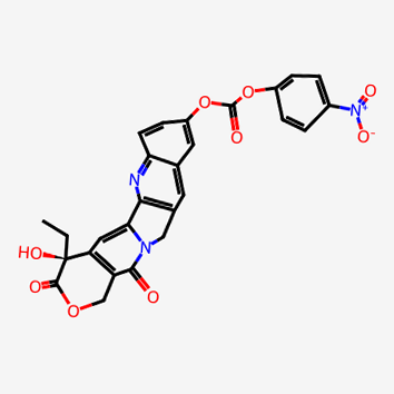 CC[C@@]1(O)C(=O)OCc2c1cc1n(c2=O)Cc2cc3cc(OC(=O)Oc4ccc([N+](=O)[O-])cc4)ccc3nc2-1